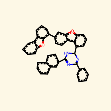 c1ccc(C2=NC(c3cccc4oc5cc(-c6cccc7c6oc6ccccc67)ccc5c34)NC(c3ccc4ccccc4c3)=N2)cc1